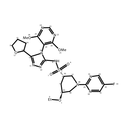 CCO[C@H]1C[C@H](S(=O)(=O)Nc2nnc(C3CCCO3)n2-c2c(OC)ncnc2OC)CN(c2ncc(F)cn2)C1